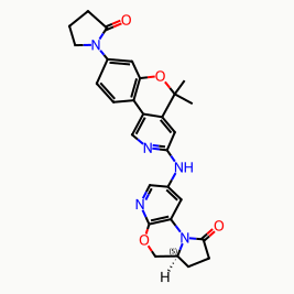 CC1(C)Oc2cc(N3CCCC3=O)ccc2-c2cnc(Nc3cnc4c(c3)N3C(=O)CC[C@H]3CO4)cc21